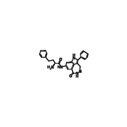 N[C@@H](CCc1ccccc1)C(=O)Nc1cc2c3c(c(-c4ccccc4)[nH]c3c1)C=NNC2=O